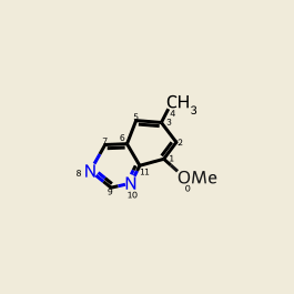 COc1cc(C)cc2cncnc12